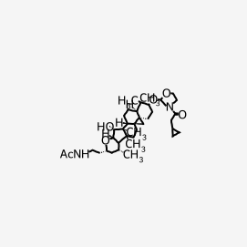 CC(=O)NCC[C@H]1C[C@@H](C)C2[C@H](O1)[C@H](O)[C@@]1(C)[C@@H]3CC[C@H]4C(C)(C)[C@@H](OC5CN(C(=O)CC6CC6)CCO5)CC[C@@]45C[C@@]35CC[C@]21C